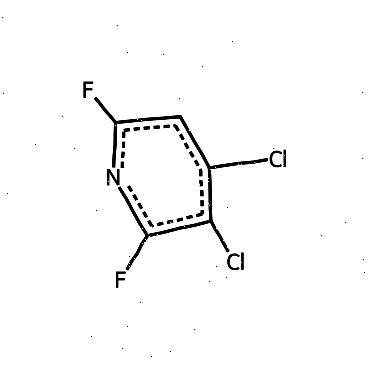 Fc1cc(Cl)c(Cl)c(F)n1